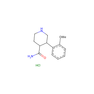 COc1ccccc1C1CNCCC1C(N)=O.Cl